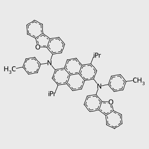 Cc1ccc(N(c2cc(C(C)C)c3ccc4c(N(c5ccc(C)cc5)c5cccc6c5oc5ccccc56)cc(C(C)C)c5ccc2c3c54)c2cccc3c2oc2ccccc23)cc1